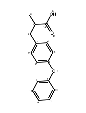 CC(Cc1ccc(Oc2ccccc2)cc1)C(=O)O